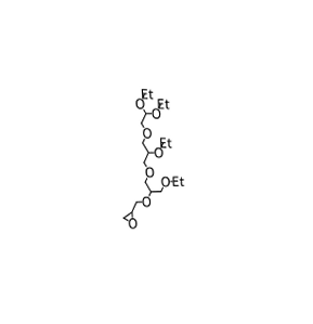 CCOCC(COCC(COCC(OCC)OCC)OCC)OCC1CO1